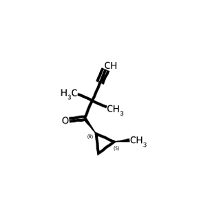 C#CC(C)(C)C(=O)[C@@H]1C[C@@H]1C